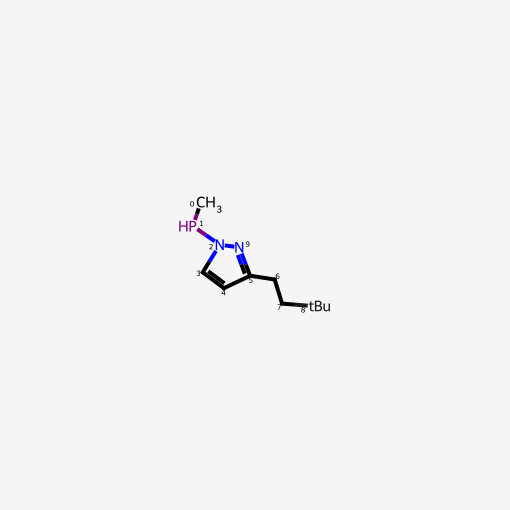 CPn1ccc(CCC(C)(C)C)n1